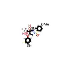 COc1ccc([S+]([O-])N2C[C@H](Oc3ccc(C#N)c(F)c3)C(O)(C(C)O)C2)c(C#N)c1